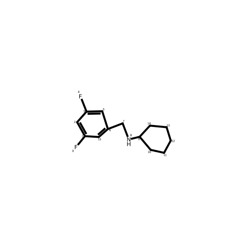 Fc1cc(F)cc(CNC2CCCCC2)c1